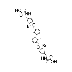 Cc1c(COc2ccc(CN[C@H](C)C(=O)O)cc2Br)cccc1-c1cccc(COc2ccc(CN[C@H](C)C(=O)O)cc2Br)c1C